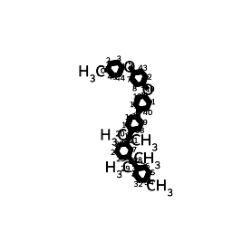 Cc1ccc(Oc2ccc(Oc3ccc(-c4ccc(C(C)(C)C5CCCC(C(C)(C)c6ccc(C)cc6)C5)cc4)cc3)cc2)cc1